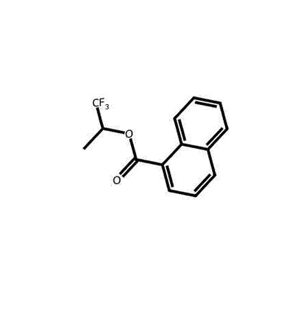 CC(OC(=O)c1cccc2ccccc12)C(F)(F)F